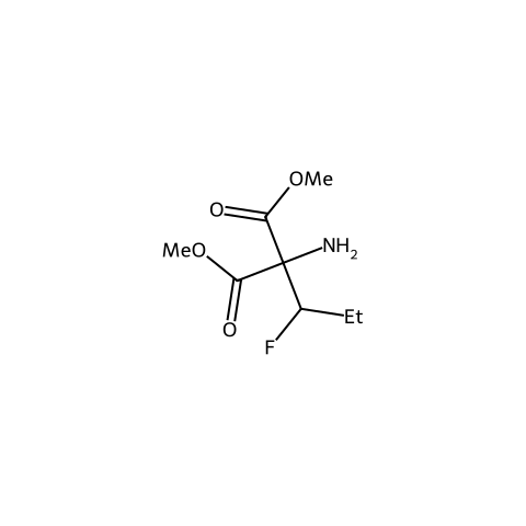 CCC(F)C(N)(C(=O)OC)C(=O)OC